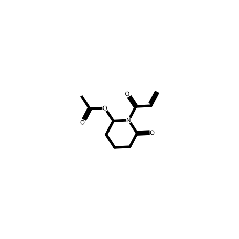 C=CC(=O)N1C(=O)CCCC1OC(C)=O